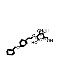 OC[C@H]1O[C@H](O)[C@H](OCCc2ccc(OCc3ccccc3)cc2)[C@@H](O)[C@@H]1O